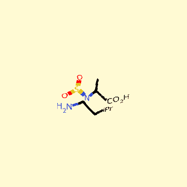 CC(C)CCN.CC(N=S(=O)=O)C(=O)O